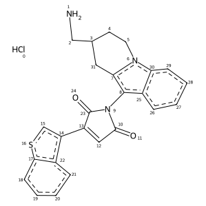 Cl.NCC1CCn2c(c(N3C(=O)C=C(c4csc5ccccc45)C3=O)c3ccccc32)C1